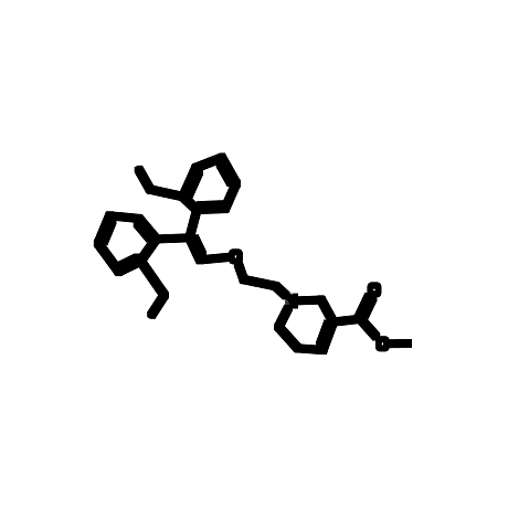 CCc1ccccc1C(=COCCN1CCC=C(C(=O)OC)C1)c1ccccc1CC